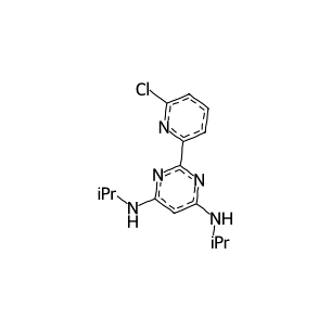 CC(C)Nc1cc(NC(C)C)nc(-c2cccc(Cl)n2)n1